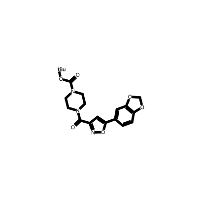 CC(C)(C)OC(=O)N1CCN(C(=O)c2cc(-c3ccc4c(c3)OCO4)on2)CC1